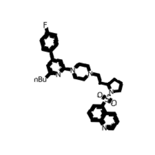 CCCCc1cc(-c2ccc(F)cc2)cc(N2CCN(CCC3CCCN3S(=O)(=O)c3cccc4ncccc34)CC2)n1